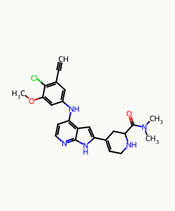 C#Cc1cc(Nc2ccnc3[nH]c(C4=CCNC(C(=O)N(C)C)C4)cc23)cc(OC)c1Cl